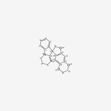 c1ccc2c(c1)N1CCCN=C1C21COc2cc3c(cc21)OCCO3